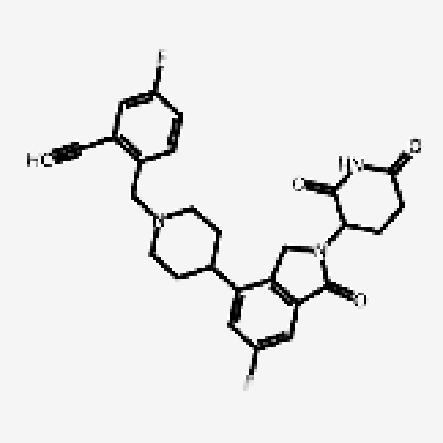 C#Cc1cc(F)ccc1CN1CCC(c2cc(F)cc3c2CN(C2CCC(=O)NC2=O)C3=O)CC1